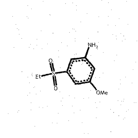 CCS(=O)(=O)c1cc(N)cc(OC)c1